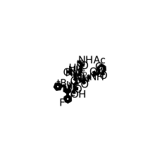 CC(=O)N[C@@H](C)C(=O)N[C@H](C)C(=O)N[C@@H](CC(N)=O)C(=O)N[C@@H](CCN(C(=O)CO)[C@@H](c1cc(-c2cc(F)ccc2F)cn1Cc1ccccc1)C(C)(C)C)C(=O)NCCNC(=O)CN1COCC=CC1=O